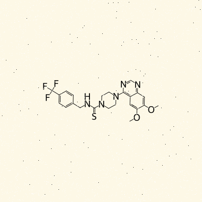 COc1cc2ncnc(N3CCN(C(=S)NCc4ccc(C(F)(F)F)cc4)CC3)c2cc1OC